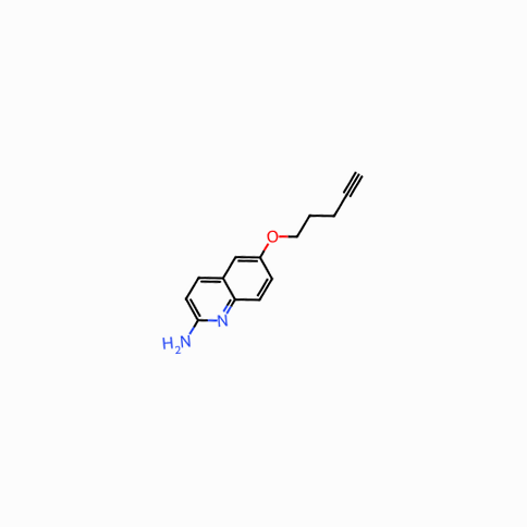 C#CCCCOc1ccc2nc(N)ccc2c1